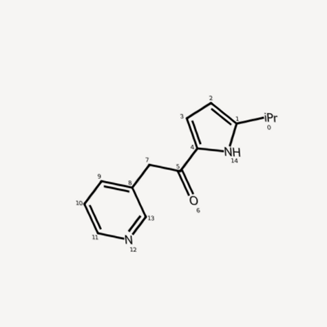 CC(C)c1ccc(C(=O)Cc2cccnc2)[nH]1